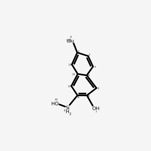 CC(C)(C)c1ccc2cc(O)c([SiH2]O)cc2c1